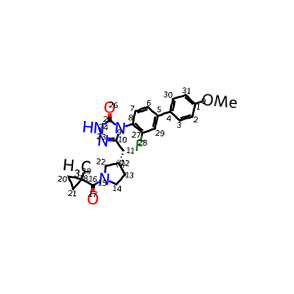 COc1ccc(-c2ccc(-n3c(C[C@@H]4CCN(C(=O)C5(C)CC5)C4)n[nH]c3=O)c(F)c2)cc1